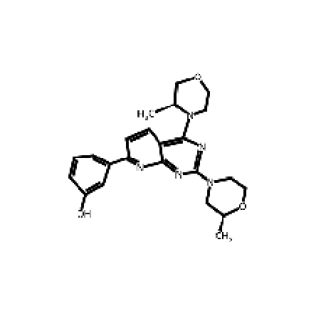 C[C@H]1CN(c2nc(N3CCOC[C@@H]3C)c3ccc(-c4cccc(O)c4)nc3n2)CCO1